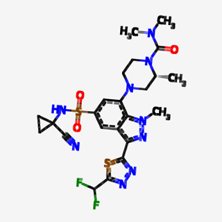 C[C@@H]1CN(c2cc(S(=O)(=O)NC3(C#N)CC3)cc3c(-c4nnc(C(F)F)s4)nn(C)c23)CCN1C(=O)N(C)C